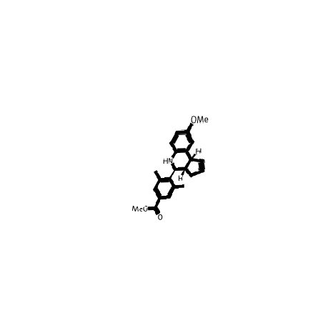 COC(=O)c1cc(C)c([C@H]2Nc3ccc(OC)cc3[C@@H]3C=CC[C@H]23)c(C)c1